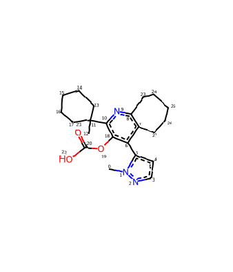 Cn1nccc1-c1c2c(nc(C3(C)CCCCC3)c1OC(=O)O)CCCCC2